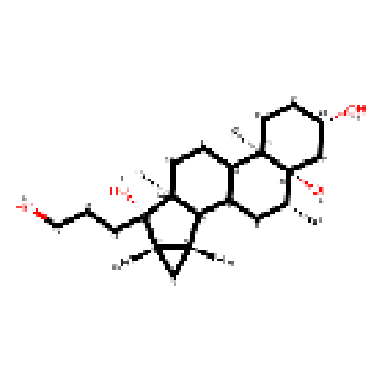 C[C@@H]1CC2C3[C@@H]4C[C@@H]4[C@@](O)(CCCO)[C@@]3(C)CCC2[C@@]2(C)CC[C@H](O)C[C@@]12O